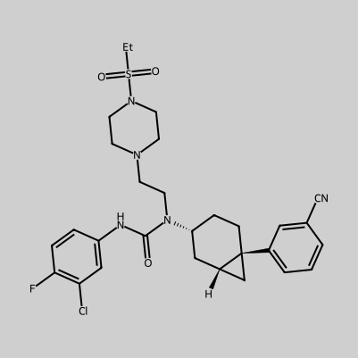 CCS(=O)(=O)N1CCN(CCN(C(=O)Nc2ccc(F)c(Cl)c2)[C@@H]2CC[C@]3(c4cccc(C#N)c4)C[C@@H]3C2)CC1